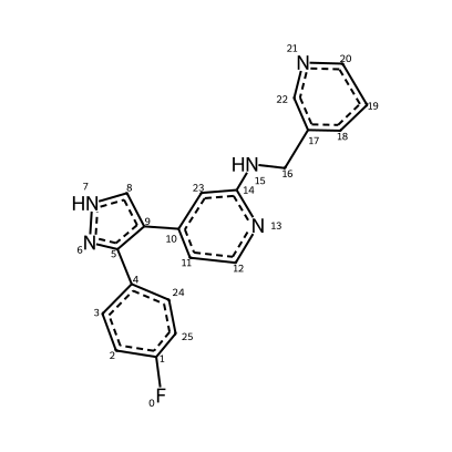 Fc1ccc(-c2n[nH]cc2-c2ccnc(NCc3cccnc3)c2)cc1